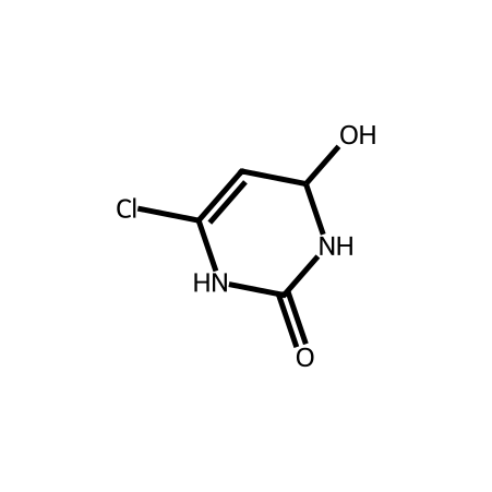 O=C1NC(Cl)=CC(O)N1